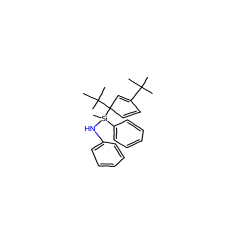 CC(C)(C)C1=CC(C(C)(C)C)([Si](C)(Nc2ccccc2)c2ccccc2)C=C1